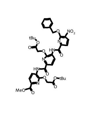 COC(=O)c1ccc(NC(=O)c2ccc(NC(=O)c3ccc([N+](=O)[O-])c(OCc4ccccc4)n3)c(OCC(=O)OC(C)(C)C)n2)c(OCC(=O)OC(C)(C)C)n1